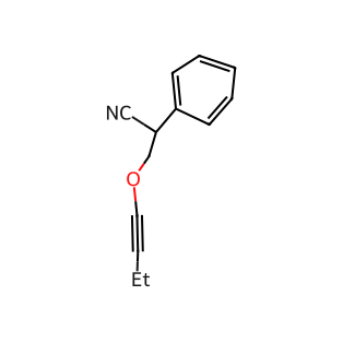 CCC#COCC(C#N)c1ccccc1